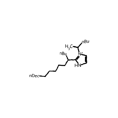 CCCCCCCCCCCCCCCC(CCCC)c1[nH]cc[n+]1C(C)CCCC